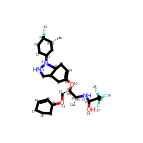 C[C@@H]1CC(N2NCC3CC(O[C@@H](COC4C=CCCC4)[C@@H](C)NC(O)C(F)(F)F)=CCC32)CCC1F